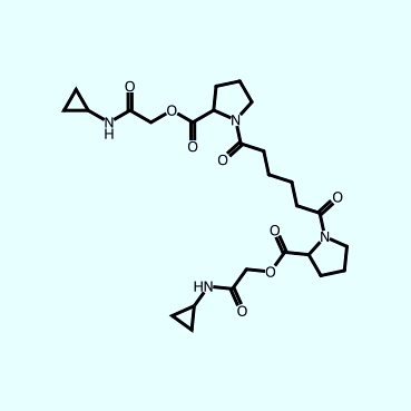 O=C(COC(=O)C1CCCN1C(=O)CCCCC(=O)N1CCCC1C(=O)OCC(=O)NC1CC1)NC1CC1